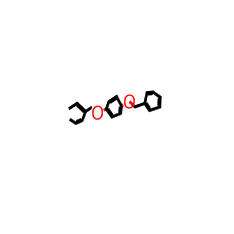 C/C=C\C(=C/C)COc1ccc(OCc2ccccc2)cc1